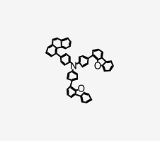 c1ccc2c(c1)ccc1cccc(-c3ccc(N(c4ccc(-c5cccc6c5oc5ccccc56)cc4)c4ccc(-c5cccc6c5oc5ccccc56)cc4)cc3)c12